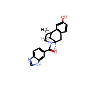 CC1[C@H]2Cc3ccc(O)cc3[C@]1(C)CCN2C(=O)c1ccc2nc[nH]c2c1